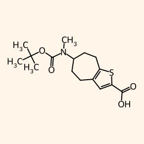 CN(C(=O)OC(C)(C)C)C1CCc2cc(C(=O)O)sc2CC1